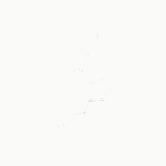 C=CCNc1cccc(C(=O)CN)c1